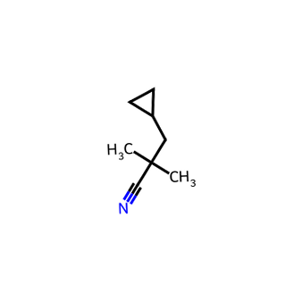 CC(C)(C#N)CC1CC1